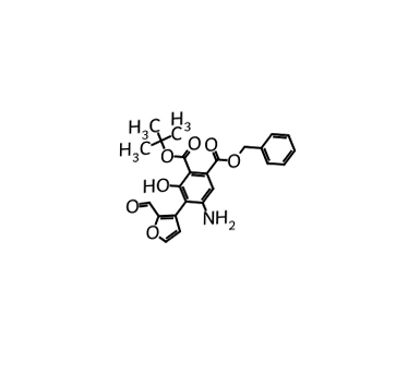 CC(C)(C)OC(=O)c1c(C(=O)OCc2ccccc2)cc(N)c(-c2ccoc2C=O)c1O